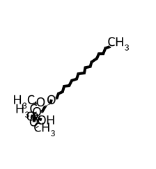 CCCCCCCCCCCCCCCCCCOC[C@H](COP(=O)(O)OC)OC(C)C